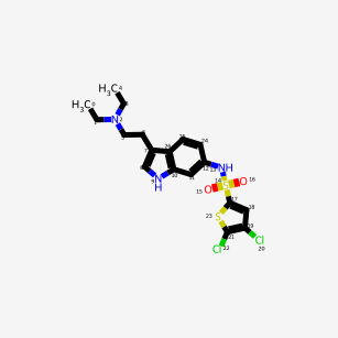 CCN(CC)CCc1c[nH]c2cc(NS(=O)(=O)c3cc(Cl)c(Cl)s3)ccc12